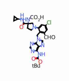 CC(C)(C)OC(=O)Nc1ncnc2c1ncn2Cc1c(C=O)cc(Cl)cc1N1CC[C@](NC(=O)O)(C(=O)NC2CC2)C1